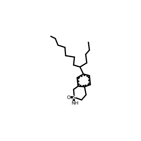 CCCCCCCC(CCCC)c1ccc2c(c1)CS(=N)(=O)CC2